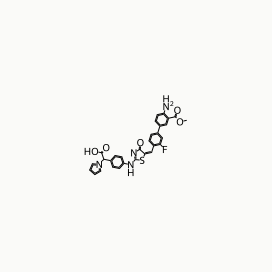 COC(=O)c1cc(-c2ccc(C=C3SC(Nc4ccc(C(C(=O)O)n5cccc5)cc4)=NC3=O)c(F)c2)ccc1N